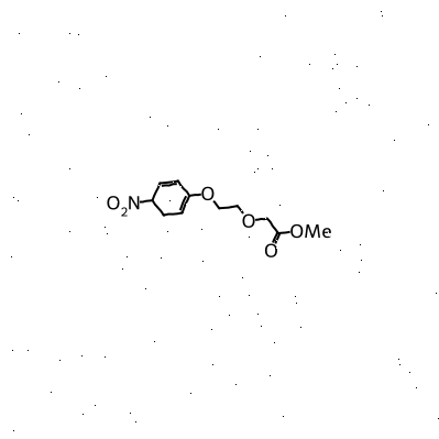 COC(=O)COCCOC1=CCC([N+](=O)[O-])C=C1